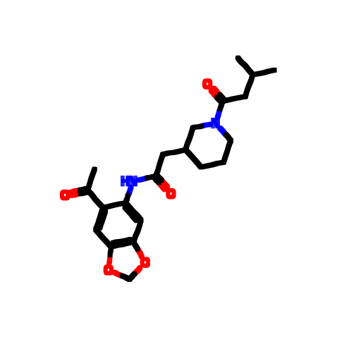 CC(=O)c1cc2c(cc1NC(=O)CC1CCCN(C(=O)CC(C)C)C1)OCO2